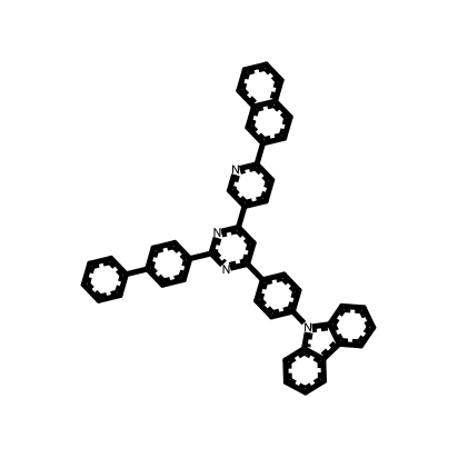 c1ccc(-c2ccc(-c3nc(-c4ccc(-n5c6ccccc6c6ccccc65)cc4)cc(-c4ccc(-c5ccc6ccccc6c5)nc4)n3)cc2)cc1